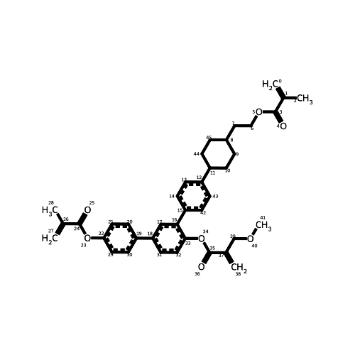 C=C(C)C(=O)OCCC1CCC(c2ccc(-c3cc(-c4ccc(OC(=O)C(=C)C)cc4)ccc3OC(=O)C(=C)COC)cc2)CC1